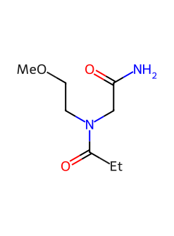 CCC(=O)N(CCOC)CC(N)=O